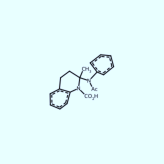 CC(=O)N(c1ccccc1)C1(C)CCc2ccccc2N1C(=O)O